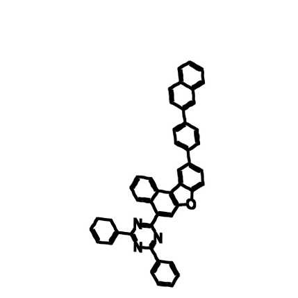 C1=CCCC(c2nc(-c3ccccc3)nc(-c3cc4oc5ccc(-c6ccc(-c7ccc8ccccc8c7)cc6)cc5c4c4ccccc34)n2)=C1